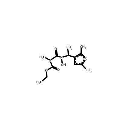 CCOC(=O)N(C)C(=O)N(O)C(C)c1cc(C)sc1C